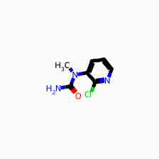 CN(C(N)=O)c1cccnc1Cl